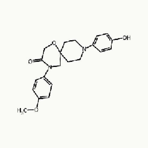 COc1ccc(N2CC3(CCN(c4ccc(O)cc4)CC3)OCC2=O)cc1